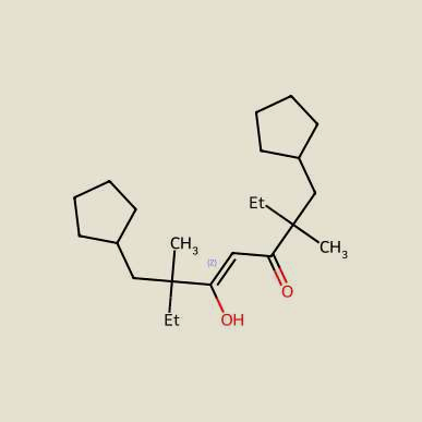 CCC(C)(CC1CCCC1)C(=O)/C=C(\O)C(C)(CC)CC1CCCC1